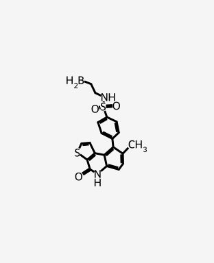 BCCNS(=O)(=O)c1ccc(-c2c(C)ccc3[nH]c(=O)c4sccc4c23)cc1